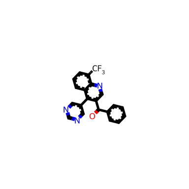 O=C(c1ccccc1)c1cnc2c(C(F)(F)F)cccc2c1-c1cncnc1